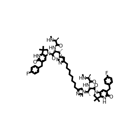 CN[C@@H](C)C(=O)N[C@H](C(=O)N1CC(C)(C)c2[nH]c(=O)c(Cc3ccc(F)cc3)cc21)[C@H](C)n1cc(CCCCCCCCc2cn([C@@H](C)[C@H](NC(=O)[C@H](C)NC)C(=O)N3CC(C)(C)c4[nH]c(=O)c(Cc5ccc(F)cc5)cc43)nn2)nn1